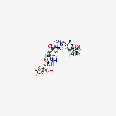 O=C(NCC(O)c1ccco1)Nc1ccc(C(=O)N2CCN(Cc3ccc(C(O)(C(F)(F)F)C(F)(F)F)cc3)CC2)cc1F